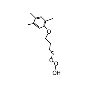 Cc1cc(C)c(OCCCSOOO)cc1C